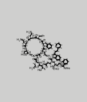 CNC(=O)c1ccccc1Sc1ccc2c(/C=C/c3ccccn3)nn(C(=O)N(CCC(=O)N[C@H](C(=O)N[C@H](CCN)C(=O)N[C@H]3CCNC(=O)[C@@H]([C@@H](C)O)NC(=O)[C@@H](CCN)NC(=O)[C@@H](CCN)NC(=O)[C@@H](CC(C)C)NC(=O)[C@@H](Cc4ccccc4)NC(=O)[C@@H](CCN)NC3=O)[C@@H](C)O)C[C@@H](CCSC)NC=O)c2c1